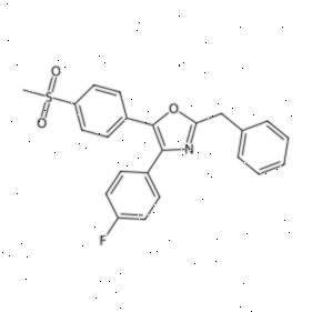 CS(=O)(=O)c1ccc(-c2oc(Cc3ccccc3)nc2-c2ccc(F)cc2)cc1